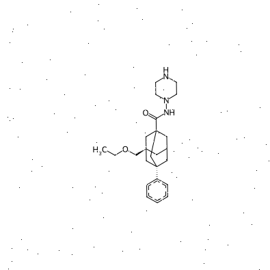 CCOC[C@]12CC3CC(C(=O)NN4CCNCC4)(C1)C[C@@](c1ccccc1)(C3)C2